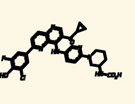 O=C(O)NC1CCCN(c2ccc(Nc3c(C(=O)C4CC4)cnc4ccc(-c5cc(F)c(O)c(Cl)c5)nc34)cn2)C1